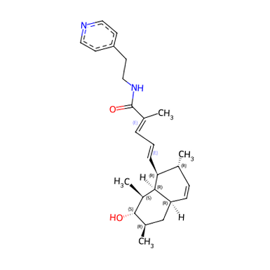 C/C(=C\C=C\[C@@H]1[C@@H]2[C@H](C)[C@@H](O)[C@H](C)C[C@@H]2C=C[C@H]1C)C(=O)NCCc1ccncc1